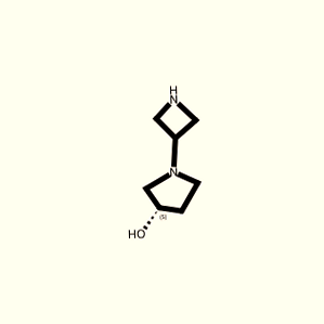 O[C@H]1CCN(C2CNC2)C1